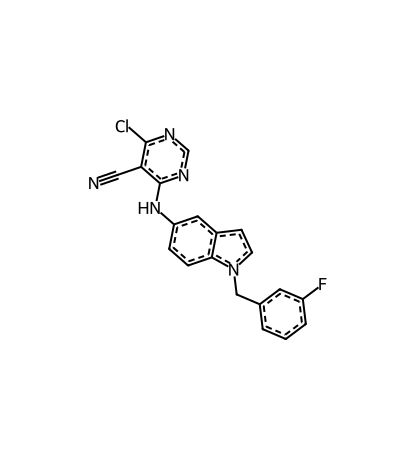 N#Cc1c(Cl)ncnc1Nc1ccc2c(ccn2Cc2cccc(F)c2)c1